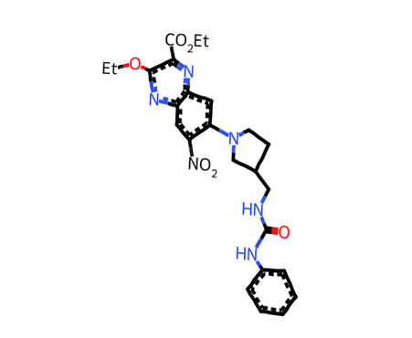 CCOC(=O)c1nc2cc(N3CCC(CNC(=O)Nc4ccccc4)C3)c([N+](=O)[O-])cc2nc1OCC